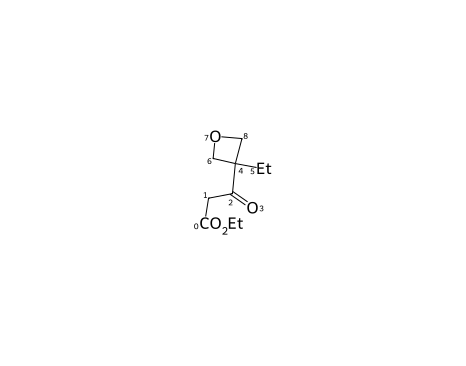 CCOC(=O)CC(=O)C1(CC)COC1